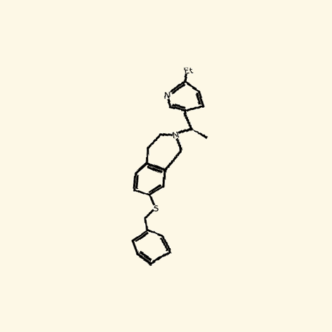 CCc1ccc([C@@H](C)N2CCc3ccc(SCc4ccccc4)cc3C2)cn1